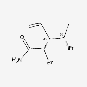 C=C[C@@H](C(Br)C(N)=O)[C@H](C)C(C)C